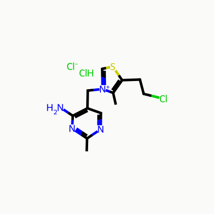 Cc1ncc(C[n+]2csc(CCCl)c2C)c(N)n1.Cl.[Cl-]